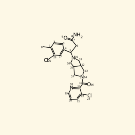 Cc1ccc(C(CC(N)=O)N2CC3CN(C(=O)c4ncccc4Cl)CC3C2)cc1Cl